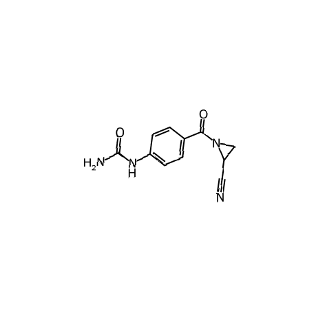 N#CC1CN1C(=O)c1ccc(NC(N)=O)cc1